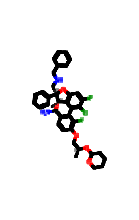 C[C@@H](COc1ccc(C(N)=O)c(-c2c(Cl)c(F)cc3c2[C@H](C)[C@@](CNCc2ccccc2)(c2ccccc2)O3)c1F)OC1CCCCO1